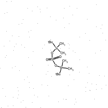 CC(C)(C)[Si](C)(C)OS(=O)(=O)O[Si](C)(C)C(C)(C)C